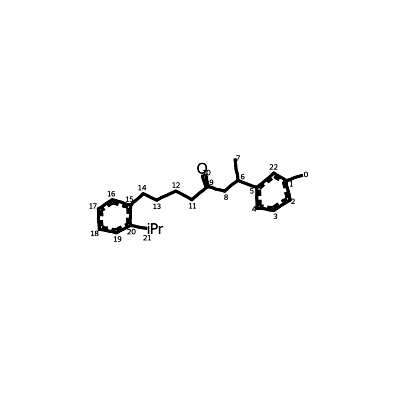 Cc1cccc(C(C)CC(=O)CCCCc2ccccc2C(C)C)c1